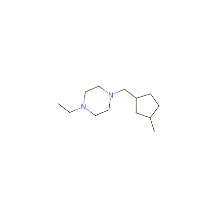 CCN1CCN(CC2CCC(C)C2)CC1